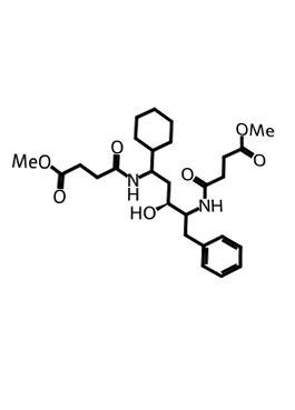 COC(=O)CCC(=O)NC(C[C@H](O)C(Cc1ccccc1)NC(=O)CCC(=O)OC)C1CCCCC1